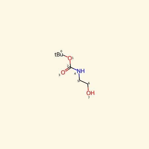 CC(C)(C)OC(=O)N[CH]CO